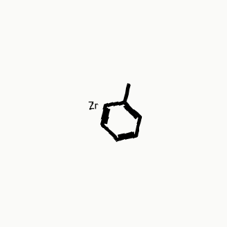 Cc1cc[c]cc1.[Zr]